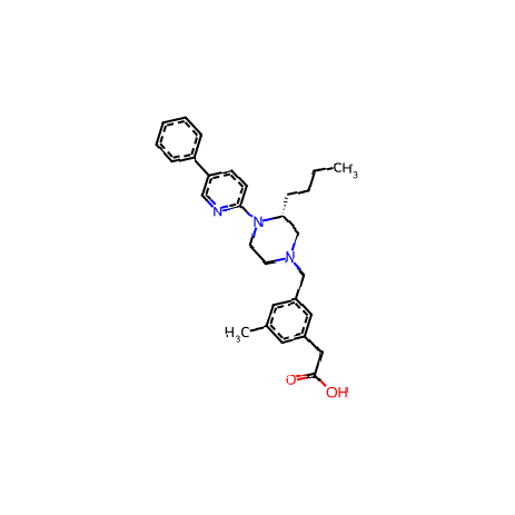 CCCC[C@@H]1CN(Cc2cc(C)cc(CC(=O)O)c2)CCN1c1ccc(-c2ccccc2)cn1